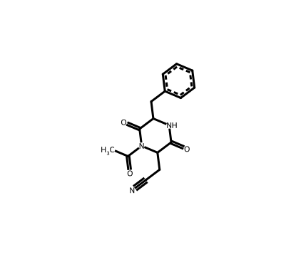 CC(=O)N1C(=O)C(Cc2ccccc2)NC(=O)C1CC#N